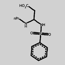 CCCNC(CC(=O)O)NS(=O)(=O)c1ccccc1